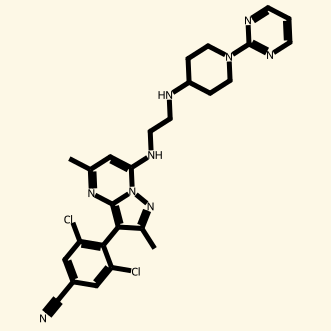 Cc1cc(NCCNC2CCN(c3ncccn3)CC2)n2nc(C)c(-c3c(Cl)cc(C#N)cc3Cl)c2n1